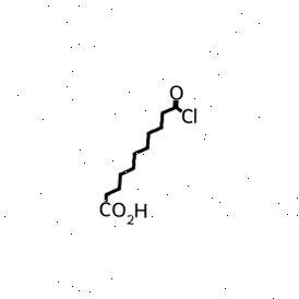 O=C(O)CCCCCCCCCC(=O)Cl